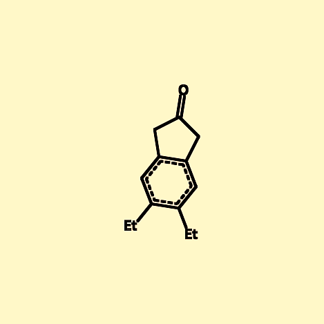 CCc1cc2c(cc1CC)CC(=O)C2